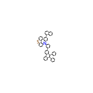 c1ccc(-c2c(-c3ccccc3)c3cc(-c4cccc(N(c5ccc(-c6cccc7ccccc67)cc5)c5cccc6sc7ccccc7c56)c4)ccc3c3ccccc23)cc1